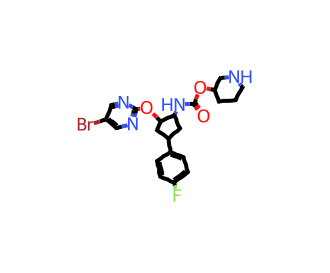 O=C(NC1CC(c2ccc(F)cc2)CC1Oc1ncc(Br)cn1)OC1CCCNC1